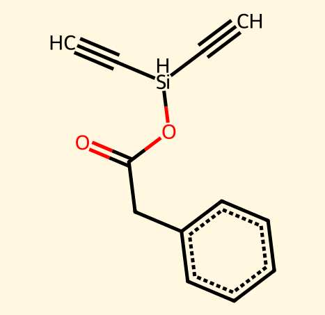 C#C[SiH](C#C)OC(=O)Cc1ccccc1